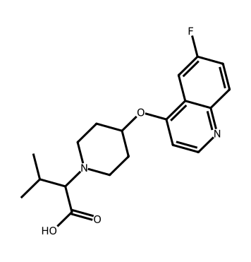 CC(C)C(C(=O)O)N1CCC(Oc2ccnc3ccc(F)cc23)CC1